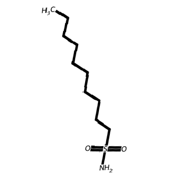 CCCCCC[CH]CCCS(N)(=O)=O